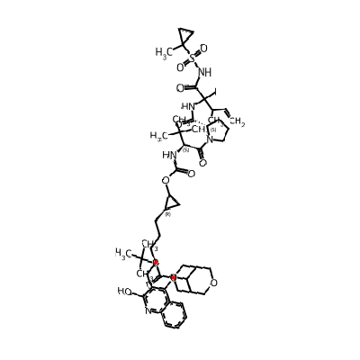 C=CC(C)C(I)(NC(=O)[C@@H]1CCCN1C(=O)[C@@H](NC(=O)OC1C[C@H]1CCCCCc1c(O)nc2ccccc2c1OC1C2COCC1CN(C(=O)OC(C)(C)C)C2)C(C)(C)C)C(=O)NS(=O)(=O)C1(C)CC1